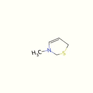 CN1C=CCSC1